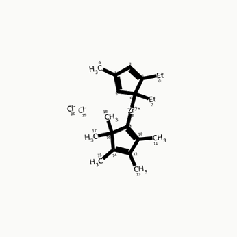 CCC1=CC(C)=C[C]1(CC)[Zr+2][C]1=C(C)C(C)=C(C)C1(C)C.[Cl-].[Cl-]